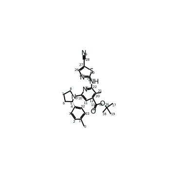 Cc1ccc([C@@H]2CCCN2c2cc(C(=O)OC(C)(C)C)c(C)c(Nc3ncc(C#N)s3)n2)cc1